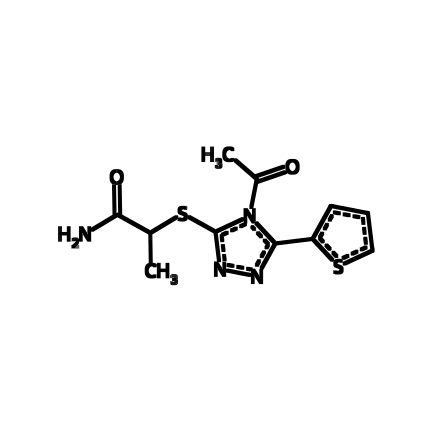 CC(=O)n1c(SC(C)C(N)=O)nnc1-c1cccs1